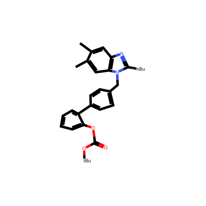 CCCCc1nc2cc(C)c(C)cc2n1Cc1ccc(-c2ccccc2OC(=O)OC(C)(C)C)cc1